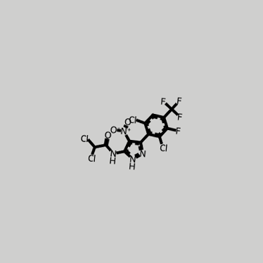 O=C(Nc1[nH]nc(-c2c(Cl)cc(C(F)(F)F)c(F)c2Cl)c1[N+](=O)[O-])C(Cl)Cl